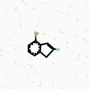 FC1=Cc2c(Br)cccc2C1